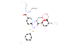 Cc1ccc(S(=O)(=O)/N=c2\ccc(C(=O)N(CCC(C)C)CCC(C)C)cn2C(CC2OCCCO2)C(=O)c2ccc(C#N)cc2)cc1